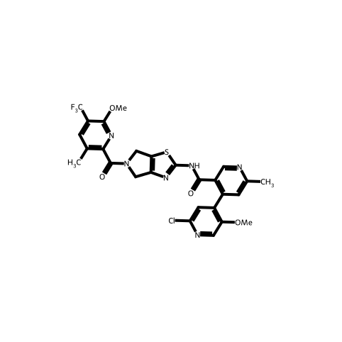 COc1cnc(Cl)cc1-c1cc(C)ncc1C(=O)Nc1nc2c(s1)CN(C(=O)c1nc(OC)c(C(F)(F)F)cc1C)C2